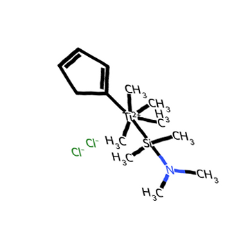 CN(C)[Si](C)(C)[Ti+2]([CH3])([CH3])([CH3])([CH3])[C]1=CC=CC1.[Cl-].[Cl-]